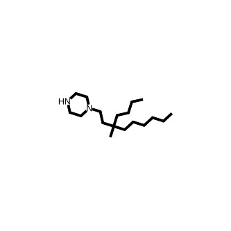 CCCCCCC(C)(CCCC)CCN1CCNCC1